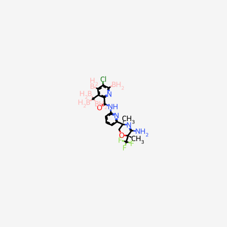 Bc1nc(C(=O)Nc2cccc([C@]3(C)CO[C@@](C)(C(F)(F)F)C(N)=N3)n2)c(C(B)(B)B)c(B)c1Cl